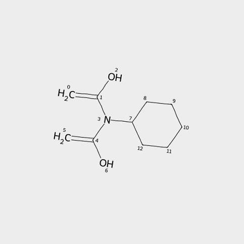 C=C(O)N(C(=C)O)C1CCCCC1